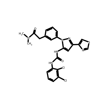 CN(C)C(=O)Cc1cccc(-n2nc(-c3cscn3)cc2NC(=O)Nc2cccc(Cl)c2Cl)c1